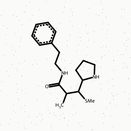 CSC(C1CCCN1)C(C)C(=O)NCCc1ccccc1